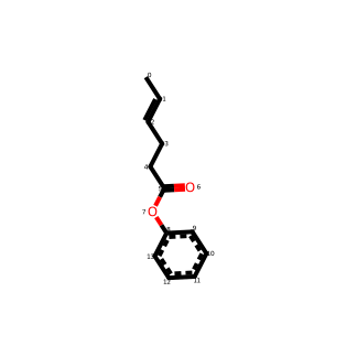 CC=CCCC(=O)Oc1ccccc1